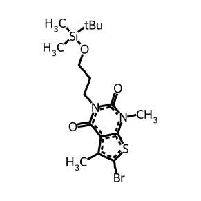 Cc1c(Br)sc2c1c(=O)n(CCCO[Si](C)(C)C(C)(C)C)c(=O)n2C